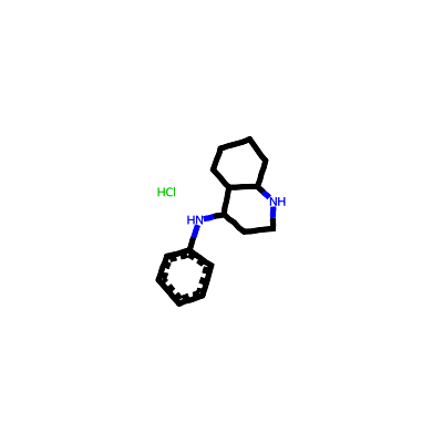 Cl.c1ccc(NC2CCNC3CCCCC32)cc1